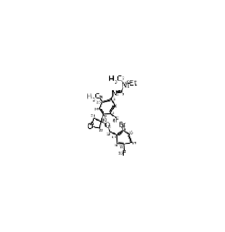 CCN(C)C=Nc1cc(F)c(C2(OCc3cc(F)ccc3Br)COC2)cc1C